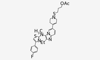 CCc1nc2ccc(C3=CCN(SCCCOC(C)=O)CC3)cn2c1N(C)c1nc(-c2ccc(F)cc2)cs1